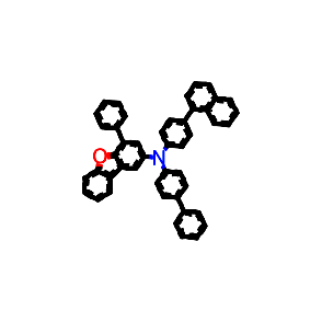 c1ccc(-c2ccc(N(c3ccc(-c4cccc5ccccc45)cc3)c3cc(-c4ccccc4)c4oc5ccccc5c4c3)cc2)cc1